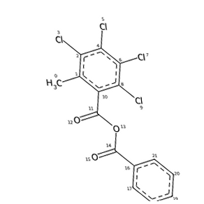 Cc1c(Cl)c(Cl)c(Cl)c(Cl)c1C(=O)OC(=O)c1ccccc1